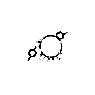 CCC[C@@H]1NCCOc2cc(Cl)ccc2CCCNC(=O)[C@@H](Cc2ccc(Cl)cc2)NC(=O)[C@@H](C)N(C)C1=O